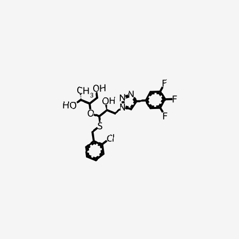 C[C@@H](O)C(CO)OC(SCc1ccccc1Cl)[C@@H](O)Cn1cc(-c2cc(F)c(F)c(F)c2)nn1